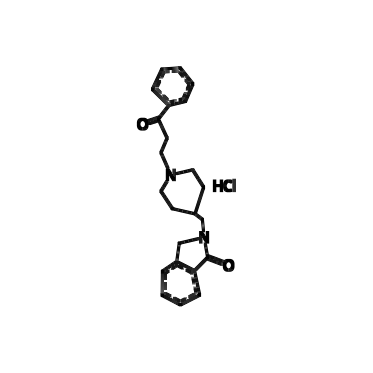 Cl.O=C(CCN1CCC(CN2Cc3ccccc3C2=O)CC1)c1ccccc1